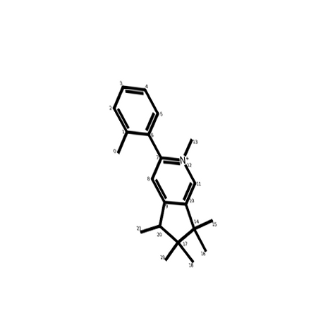 Cc1ccccc1-c1cc2c(c[n+]1C)C(C)(C)C(C)(C)C2C